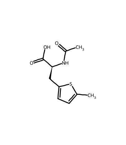 CC(=O)N[C@@H](Cc1ccc(C)s1)C(=O)O